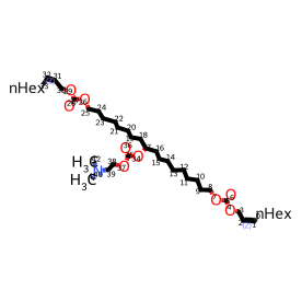 CCCCCC/C=C\COC(=O)OCCCCCCCCCC(CCCCCCCCOC(=O)OC/C=C\CCCCCC)OC(=O)OCCN(C)C